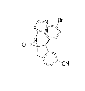 N#Cc1ccc2c(c1)[C@H](c1ccc(Br)cc1)[C@@]1(C2)C(=O)N1c1nncs1